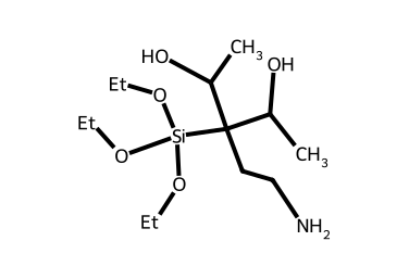 CCO[Si](OCC)(OCC)C(CCN)(C(C)O)C(C)O